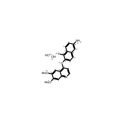 COc1cc2nccc(Oc3ccc4cc(N)ccc4c3F)c2cc1OC.Cl.Cl